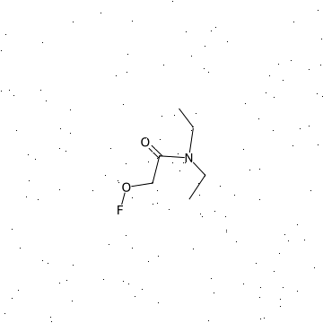 CCN(CC)C(=O)COF